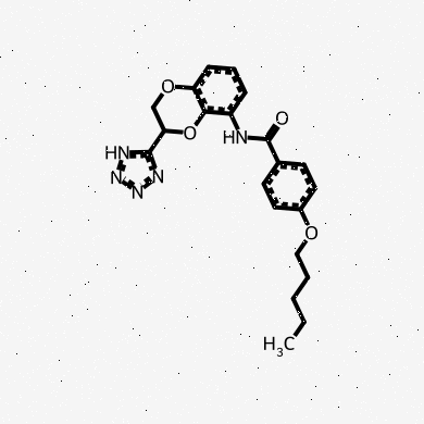 CCCCCOc1ccc(C(=O)Nc2cccc3c2OC(c2nnn[nH]2)CO3)cc1